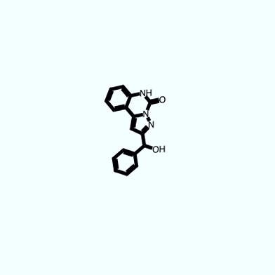 O=c1[nH]c2ccccc2c2cc(C(O)c3ccccc3)nn12